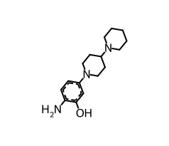 Nc1ccc(N2CCC(N3CCCCC3)CC2)cc1O